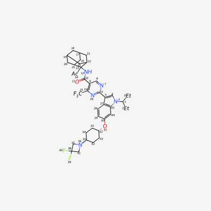 CCC(CC)n1cc(-c2ncc(C(=O)NC3(C(C)=O)C4CC5CC(C4)CC3C5)c(C(F)(F)F)n2)c2ccc(O[C@H]3CC[C@H](N4CC(F)(F)C4)CC3)cc21